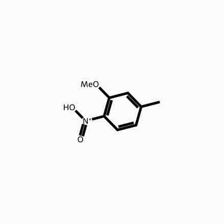 COc1cc(C)ccc1[N+](=O)O